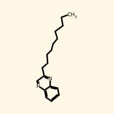 CCCCCCCCCCc1cnc2ccccc2n1